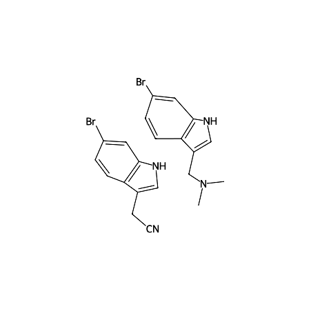 CN(C)Cc1c[nH]c2cc(Br)ccc12.N#CCc1c[nH]c2cc(Br)ccc12